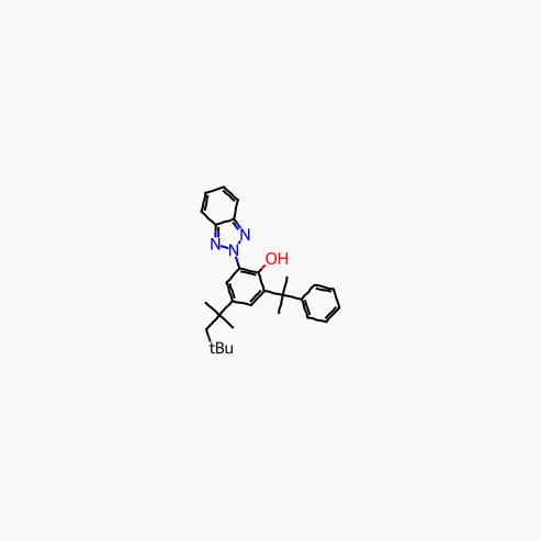 CC(C)(C)CC(C)(C)c1cc(-n2nc3ccccc3n2)c(O)c(C(C)(C)c2ccccc2)c1